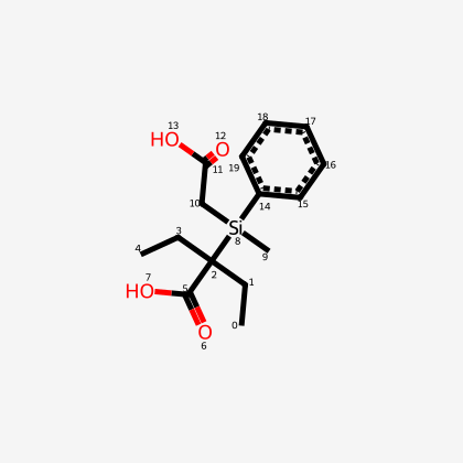 CCC(CC)(C(=O)O)[Si](C)(CC(=O)O)c1ccccc1